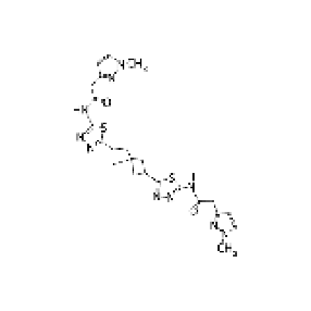 Cn1ccc(CC(=O)Nc2nnc(C3CC4(C3)CC(c3nnc(NC(=O)Cc5ccn(C)n5)s3)C4)s2)n1